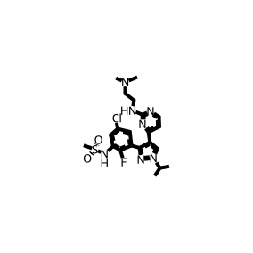 CC(C)n1cc(-c2ccnc(NCCN(C)C)n2)c(-c2cc(Cl)cc(NS(C)(=O)=O)c2F)n1